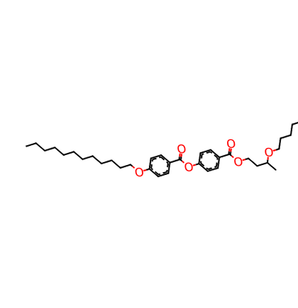 CCCCCCCCCCCCOc1ccc(C(=O)Oc2ccc(C(=O)OCCC(C)OCCCCC)cc2)cc1